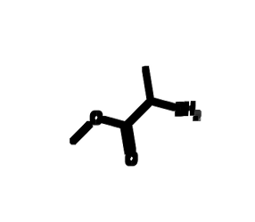 BC(C)C(=O)OC